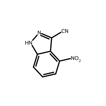 N#Cc1n[nH]c2cccc([N+](=O)[O-])c12